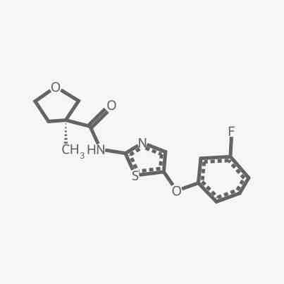 C[C@]1(C(=O)Nc2ncc(Oc3cccc(F)c3)s2)CCOC1